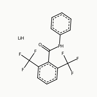 O=C(Pc1ccccc1)c1c(C(F)(F)F)cccc1C(F)(F)F.[LiH]